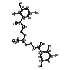 O=C(OCCN(CCOC(=O)c1cc(I)cc(I)c1I)[N+](=O)[O-])c1cc(I)cc(I)c1I